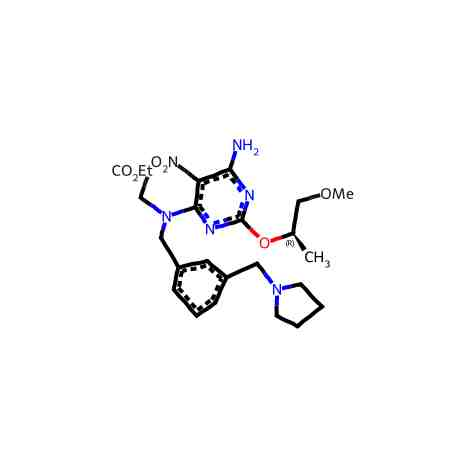 CCOC(=O)CN(Cc1cccc(CN2CCCC2)c1)c1nc(O[C@H](C)COC)nc(N)c1[N+](=O)[O-]